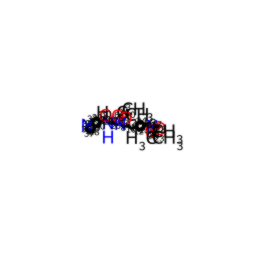 CC(C)(C)OC(=O)N(CCCc1ccc(CN(C=O)OC(C)(C)C)cc1)CCNC(=O)c1ccc2ncccc2c1